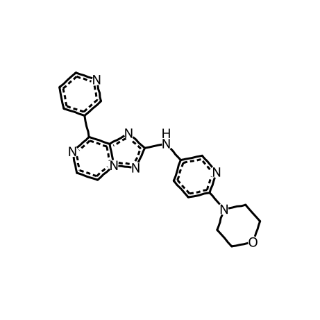 c1cncc(-c2nccn3nc(Nc4ccc(N5CCOCC5)nc4)nc23)c1